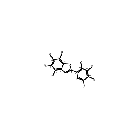 Cc1cc(-c2cc3c(C)c(C)c(C)c(C)c3s2)c(C)c(C)c1C